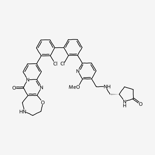 COc1nc(-c2cccc(-c3cccc(-c4ccn5c(=O)c6c(nc5c4)OCCNC6)c3Cl)c2Cl)ccc1CNC[C@@H]1CCC(=O)N1